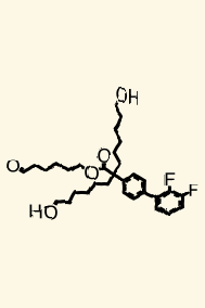 O=CCCCCCOC(=O)C(CCCCCCO)(CCCCCCO)c1ccc(-c2cccc(F)c2F)cc1